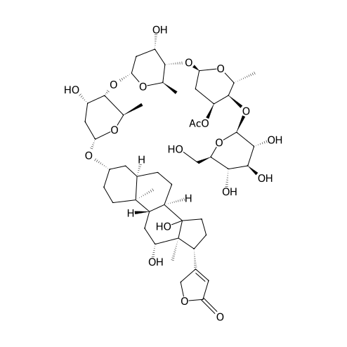 CC(=O)O[C@H]1C[C@@H](O[C@H]2[C@@H](O)C[C@@H](O[C@H]3[C@@H](O)C[C@@H](O[C@H]4CC[C@@]5(C)[C@H](CC[C@@H]6[C@@H]5C[C@@H](O)[C@]5(C)[C@@H](C7=CC(=O)OC7)CCC65O)C4)O[C@@H]3C)O[C@@H]2C)O[C@H](C)[C@H]1O[C@@H]1O[C@H](CO)[C@@H](O)[C@H](O)[C@H]1O